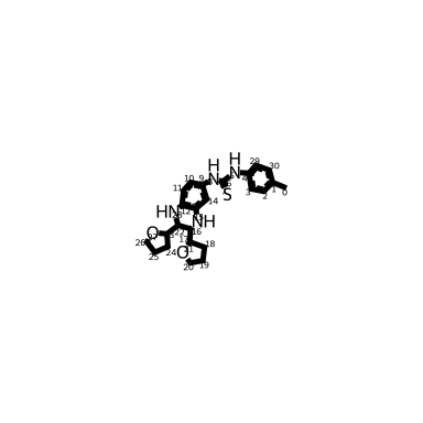 Cc1ccc(NC(=S)Nc2ccc3c(c2)NC(C2CCCO2)C(C2CCCO2)N3)cc1